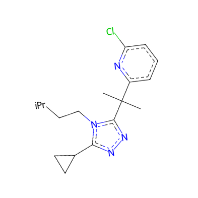 CC(C)CCn1c(C2CC2)nnc1C(C)(C)c1cccc(Cl)n1